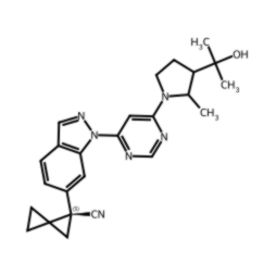 CC1C(C(C)(C)O)CCN1c1cc(-n2ncc3ccc([C@]4(C#N)CC45CC5)cc32)ncn1